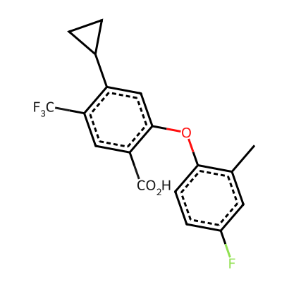 Cc1cc(F)ccc1Oc1cc(C2CC2)c(C(F)(F)F)cc1C(=O)O